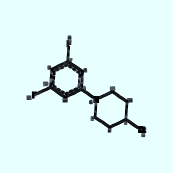 CCC1CCN(c2cc(F)cc(F)c2)CC1